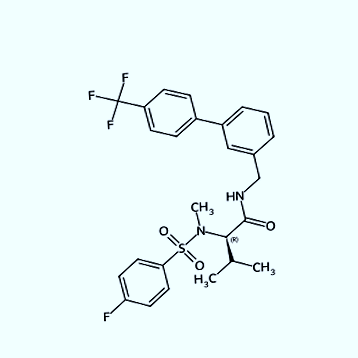 CC(C)[C@H](C(=O)NCc1cccc(-c2ccc(C(F)(F)F)cc2)c1)N(C)S(=O)(=O)c1ccc(F)cc1